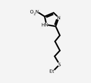 CCSCCCCc1ncc([N+](=O)[O-])[nH]1